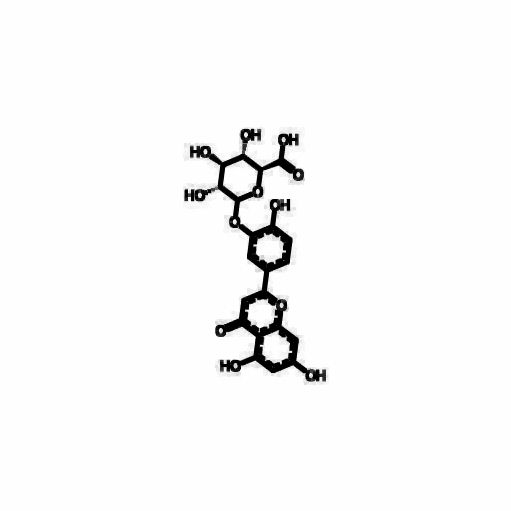 O=C(O)[C@H]1OC(Oc2cc(-c3cc(=O)c4c(O)cc(O)cc4o3)ccc2O)[C@H](O)[C@@H](O)[C@@H]1O